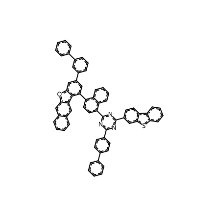 c1ccc(-c2ccc(-c3nc(-c4ccc5c(c4)sc4ccccc45)nc(-c4ccc(-c5cc(-c6cccc(-c7ccccc7)c6)cc6oc7cc8ccccc8cc7c56)c5ccccc45)n3)cc2)cc1